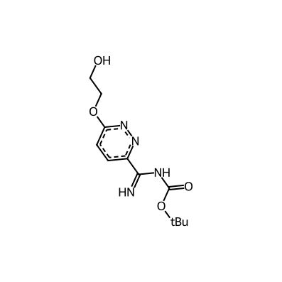 CC(C)(C)OC(=O)NC(=N)c1ccc(OCCO)nn1